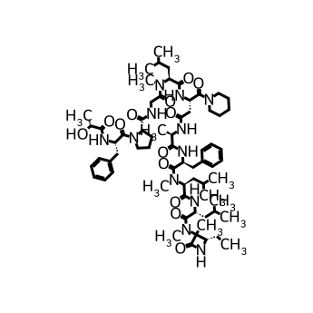 CC[C@@H]1NC(=O)C1(C)N(C)C(=O)[C@@H](CC(C)C)NC(=O)[C@H](CC(C)C)N(C)C(=O)[C@H](Cc1ccccc1)NC(=O)[C@@H](C)NC(=O)C[C@H](NC(=O)[C@H](CC(C)C)N(C)C(=O)CNC(=O)[C@@H]1CCCN1C(=O)[C@H](Cc1ccccc1)NC(=O)[C@@H](C)O)C(=O)N1CCCCC1